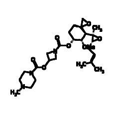 CO[C@@H]1[C@H](OC(=O)N2CC(OC(=O)N3CCN(C)CC3)C2)CC[C@]2(CO2)[C@H]1[C@@]1(C)O[C@@H]1CC=C(C)C